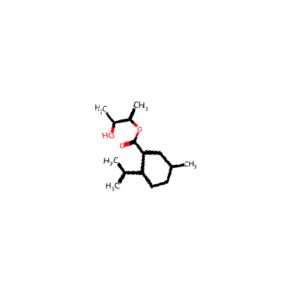 CC1CCC(C(C)C)C(C(=O)OC(C)C(C)O)C1